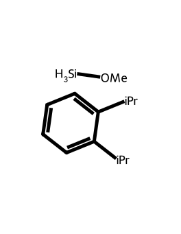 CC(C)c1ccccc1C(C)C.CO[SiH3]